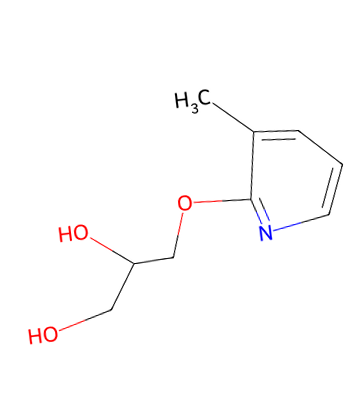 Cc1cccnc1OCC(O)CO